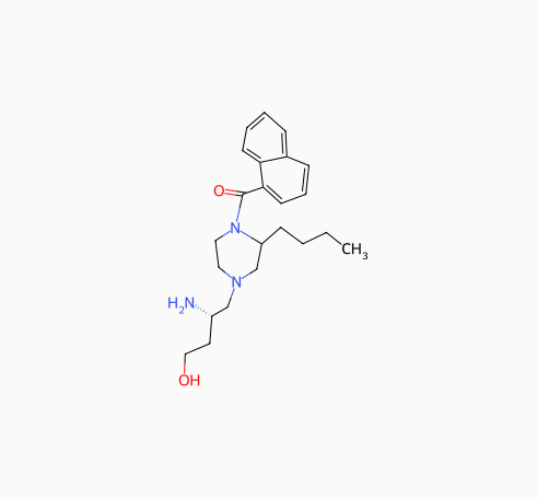 CCCCC1CN(C[C@@H](N)CCO)CCN1C(=O)c1cccc2ccccc12